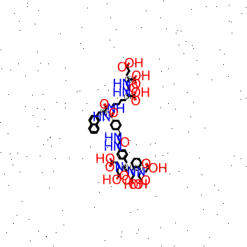 O=C(O)CC[C@H](NC(=O)N[C@@H](CCCCNC(=O)[C@H](Cc1ccc2ccccc2c1)NC(=O)[C@H]1CC[C@H](CNC(=O)Nc2ccc(C[C@H](CN(CC(=O)O)[C@H]3CCCC[C@@H]3N(CC(=O)O)CC(=O)O)N(CC(=O)O)CC(=O)O)cc2)CC1)C(=O)O)C(=O)O